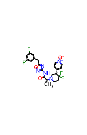 C[C@@H](C(=O)Nc1noc(Cc2cc(F)cc(F)c2)n1)N1CCC(F)(F)[C@@H](c2cc[n+]([O-])cc2)C1